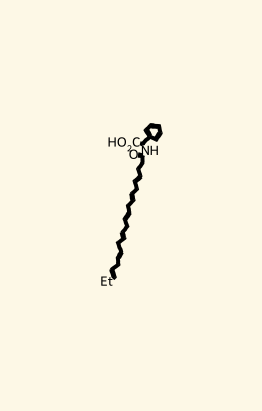 CCC=CCC=CCC=CCC=CCC=CCC=CCCC(=O)NC(C(=O)O)c1ccccc1